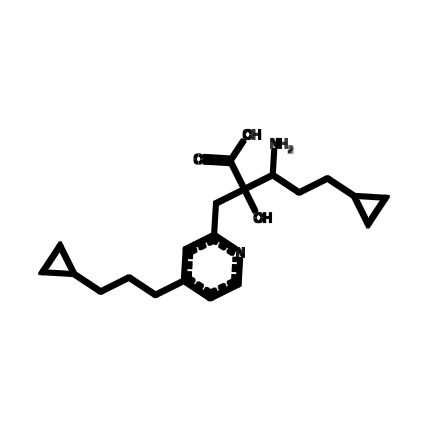 NC(CCC1CC1)C(O)(Cc1cc(CCCC2CC2)ccn1)C(=O)O